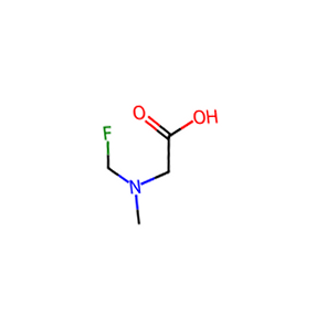 CN(CF)CC(=O)O